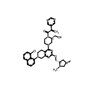 C=C(C(=O)N1CCN(c2nc(OC[C@@H]3C[C@@H](F)CN3C)nc3c2CCN(c2cccc4cccc(Cl)c24)C3)C[C@@H]1CC#N)c1cncnc1